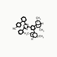 C[C@@H]1C[C@@H]2C[C@H](C)CC(c3cc(-c4nc(-c5ccccc5)nc(-c5ccccc5-c5ccc(C#N)cc5)n4)cc(C45C[C@H](C)C[C@H](C[C@H](C)C4)C5)c3)(C1)C2